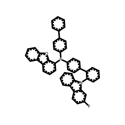 Fc1ccc2c3ccccc3n(-c3ccccc3-c3ccc(N(c4ccc(-c5ccccc5)cc4)c4cccc5c4oc4ccccc45)cc3)c2c1